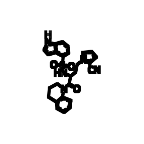 N#Cc1cccn1CCC(NS(=O)(=O)c1cccc2[nH]ccc12)C(=O)N1CCCc2ccccc21